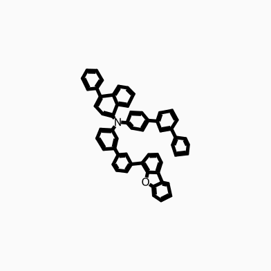 c1ccc(-c2cccc(-c3ccc(N(c4cccc(-c5cccc(-c6cccc7c6oc6ccccc67)c5)c4)c4ccc(-c5ccccc5)c5ccccc45)cc3)c2)cc1